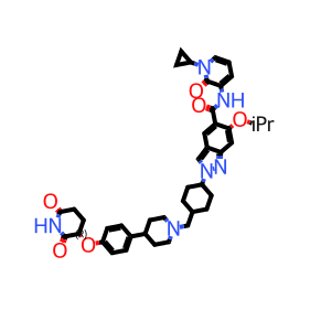 CC(C)Oc1cc2nn(C3CCC(CN4CCC(c5ccc(O[C@@H]6CCC(=O)NC6=O)cc5)CC4)CC3)cc2cc1C(=O)Nc1cccn(C2CC2)c1=O